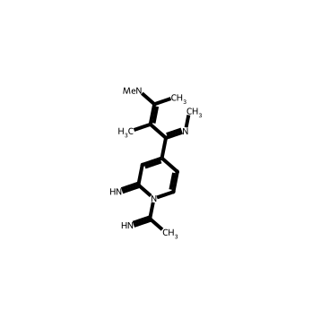 C/N=C(\C(C)=C(/C)NC)c1ccn(C(C)=N)c(=N)c1